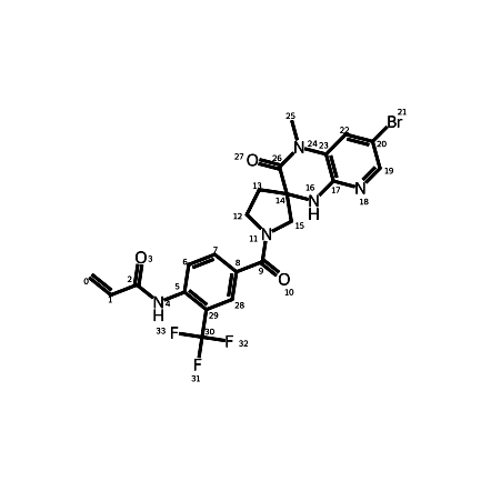 C=CC(=O)Nc1ccc(C(=O)N2CCC3(C2)Nc2ncc(Br)cc2N(C)C3=O)cc1C(F)(F)F